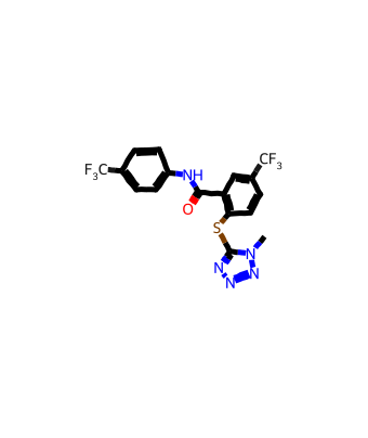 Cn1nnnc1Sc1ccc(C(F)(F)F)cc1C(=O)Nc1ccc(C(F)(F)F)cc1